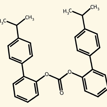 CC(C)c1ccc(-c2ccccc2OC(=O)Oc2ccccc2-c2ccc(C(C)C)cc2)cc1